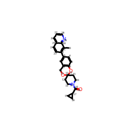 Cc1c(-c2ccc3c(c2)COC2(CCN(C(=O)C4CC4)CC2)O3)ccc2cccnc12